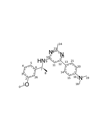 COc1cccc([C@H](C)Nc2cc(-c3ccc(N(C)C)cc3)nc(C)n2)c1